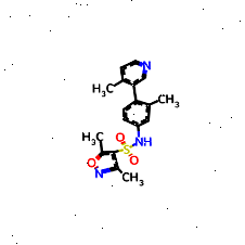 Cc1cc(NS(=O)(=O)c2c(C)noc2C)ccc1-c1cnccc1C